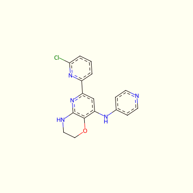 Clc1cccc(-c2cc(Nc3ccncc3)c3c(n2)NCCO3)n1